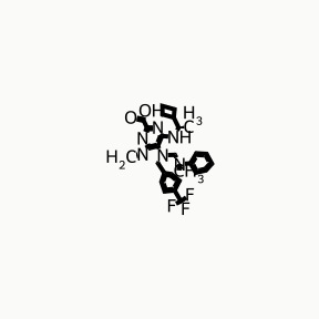 C=Nc1nc(C(=O)O)nc(N[C@H](C)C2CCC2)c1N(Cc1ccc(C(F)(F)F)cc1)CN(C)c1ccccc1